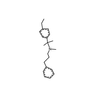 CCc1ccc(C(C)(C)N(C)CCCc2ccccc2)cc1